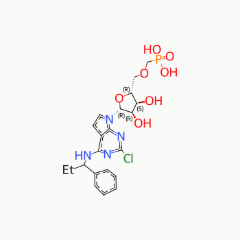 CCC(Nc1nc(Cl)nc2c1ccn2[C@@H]1O[C@H](COCP(=O)(O)O)[C@@H](O)[C@H]1O)c1ccccc1